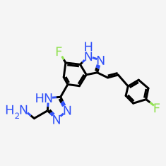 NCc1nnc(-c2cc(F)c3[nH]nc(/C=C/c4ccc(F)cc4)c3c2)[nH]1